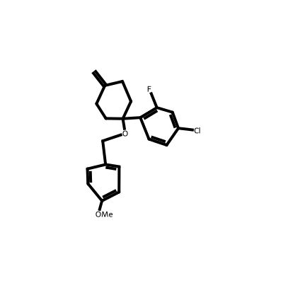 C=C1CCC(OCc2ccc(OC)cc2)(c2ccc(Cl)cc2F)CC1